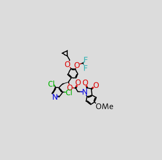 COc1ccc2c(c1)C(=O)C(=O)N2CC(=O)O[C@@H](Cc1c(Cl)cncc1Cl)c1ccc(OC(F)F)c(OCC2CC2)c1